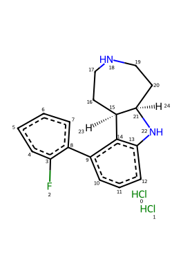 Cl.Cl.Fc1ccccc1-c1cccc2c1[C@H]1CCNCC[C@H]1N2